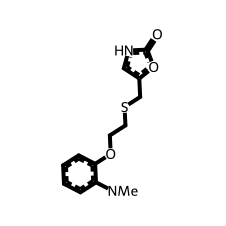 CNc1ccccc1OCCSCc1c[nH]c(=O)o1